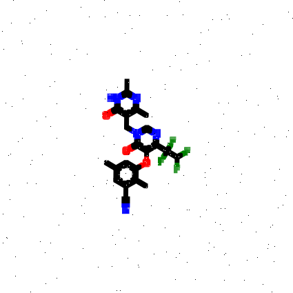 Cc1cc(C#N)c(C)c(Oc2c(C(F)(F)C(F)F)ncn(Cc3c(C)nc(C)[nH]c3=O)c2=O)c1